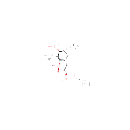 COc1cc(C=C(C(=O)OCCC(C)C)C(=O)OCCC(C)C)cc(C(C)(C)C)c1O